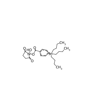 CCC[CH2][Sn]([CH2]CCC)([CH2]CCC)[c]1ccc(C(=O)O[N+]2(O)C(=O)CCC2=O)cc1